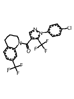 O=C(c1cnn(-c2ccc(Cl)cc2)c1C(F)(F)F)N1CCCc2ccc(C(F)(F)F)cc21